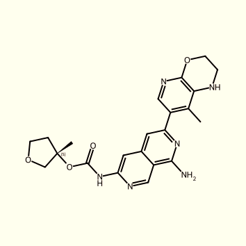 Cc1c(-c2cc3cc(NC(=O)O[C@@]4(C)CCOC4)ncc3c(N)n2)cnc2c1NCCO2